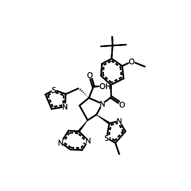 COc1cc(C(=O)N2[C@@H](c3ncc(C)s3)[C@@H](c3cnccn3)C[C@@]2(Cc2nccs2)C(=O)O)ccc1C(C)(C)C